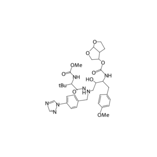 COC(=O)NC(C(=O)NN(Cc1ccc(-n2cncn2)cc1)CC(O)C(Cc1ccc(OC)cc1)NC(=O)OC1COC2OCCC12)C(C)(C)C